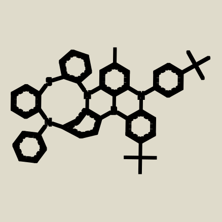 Cc1cc2c3c(c1)N1c4ccccc4Sc4ccccc4N(c4ccccc4)c4ccc(c1c4)B3c1cc(C(C)(C)C)ccc1N2c1ccc(C(C)(C)C)cc1